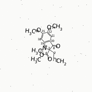 C=CCC1(C(=O)OC)C(=O)c2cc(OC)c(OC)cc2N1C